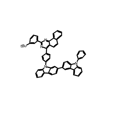 CC(C)(C)c1cccc(-c2nc(-c3ccc(-n4c5ccccc5c5ccc(-c6ccc7c(c6)c6ccccc6n7-c6ccccc6)cc54)cc3)c3ccc4ccccc4c3n2)c1